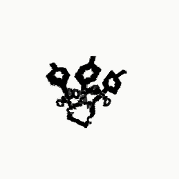 Cc1ccc(S(=O)(=O)N2CCCCCCN(S(=O)(=O)c3ccc(C)cc3)N2S(=O)(=O)c2ccc(C)cc2)cc1